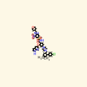 CC1(C)CCC(CN2CCN(c3ccc(C(=O)NS(=O)(=O)c4ccc(NCC5CCOCC5)c([N+](=O)[O-])c4)c(Oc4cnc5[nH]ccc5c4)c3)CC2)C(c2ccc(Cl)cc2)C1